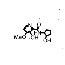 COc1ccnc(C(=O)NC2CCCC2O)c1O